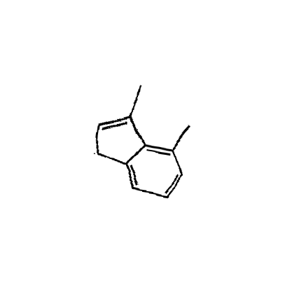 CC1=C[CH]c2cccc(C)c21